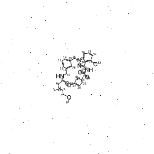 COCCN(C)CC(=O)NCc1cccc(Cn2nc(NS(=O)(=O)c3ccc(Cl)s3)c3c(OC)cccc32)c1